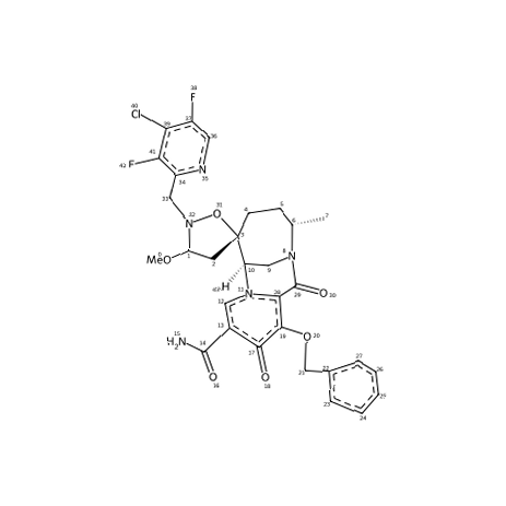 COC1C[C@]2(CC[C@H](C)N3C[C@H]2n2cc(C(N)=O)c(=O)c(OCc4ccccc4)c2C3=O)ON1Cc1ncc(F)c(Cl)c1F